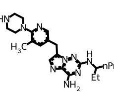 CCCC(CC)Nc1nc(N)c2ncc(Cc3cnc(N4CCNCC4)c(C)c3)n2n1